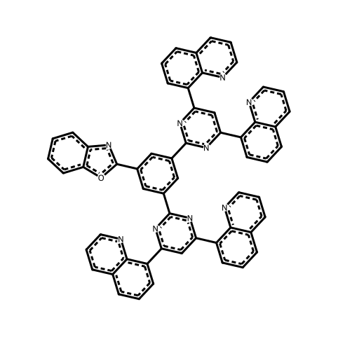 c1cnc2c(-c3cc(-c4cccc5cccnc45)nc(-c4cc(-c5nc(-c6cccc7cccnc67)cc(-c6cccc7cccnc67)n5)cc(-c5nc6ccccc6o5)c4)n3)cccc2c1